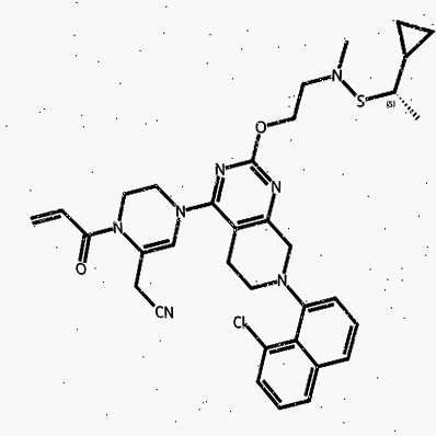 C=CC(=O)N1CCN(c2nc(OCCN(C)S[C@@H](C)C3CC3)nc3c2CCN(c2cccc4cccc(Cl)c24)C3)C=C1CC#N